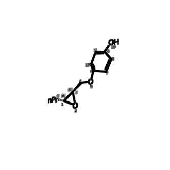 CCC[C@H]1O[C@@H]1COc1ccc(O)cc1